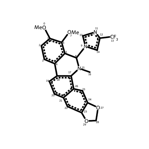 COc1ccc2c(c1OC)C(n1cnc(C(F)(F)F)c1)N(C)c1c-2ccc2cc3c(cc12)OCO3